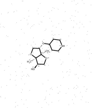 C[C@]12OC[C@H](OC3CCNCC3)[C@@]1(C)OC[C@H]2O